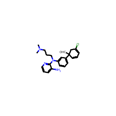 CN(C)CCCN(c1cccc(C2(C=O)C=CC=C(Cl)C2)c1)c1ncccc1N